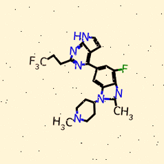 Cc1nc2c(F)cc(-c3nc(CCC(F)(F)F)nc4[nH]ccc34)cc2n1C1CCN(C)CC1